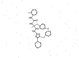 Cc1ccccc1NC(=O)NC(C)(Cc1ccc(F)cc1)C(=O)Nc1nc(-c2ccccc2)c(Cc2ccccc2)s1